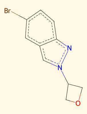 Brc1ccc2nn(C3COC3)cc2c1